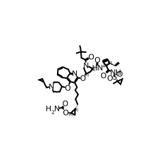 C=C[C@@H]1C#C[C@]1(NC(=O)[C@@H]1C[C@@H](Oc2nc3c(c(OC4CCN(CC5CC5)CC4)c2CCCCC[C@@H]2C[C@H]2OC(N)=O)C=CC=CC3)CN1C(=O)CC(C)(C)C)C(=O)NS(=O)(=O)C1(C)CC1